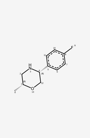 C[C@@H]1CN[C@H](c2ccc(F)cc2)CO1